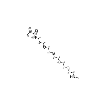 CNCCOCCOCCOCCOCCCNC(=O)C(C)C